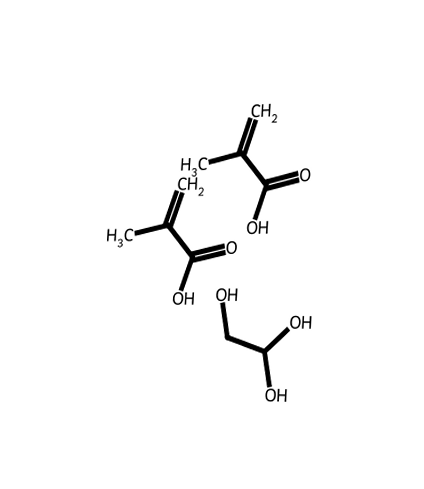 C=C(C)C(=O)O.C=C(C)C(=O)O.OCC(O)O